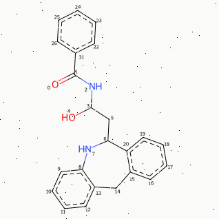 O=C(NC(O)CC1Nc2ccccc2Cc2ccccc21)c1ccccc1